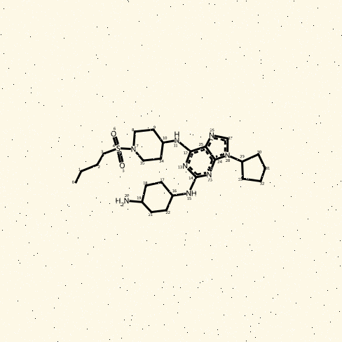 CCCCS(=O)(=O)N1CCC(Nc2nc(NC3CCC(N)CC3)nc3c2ncn3C2CCCC2)CC1